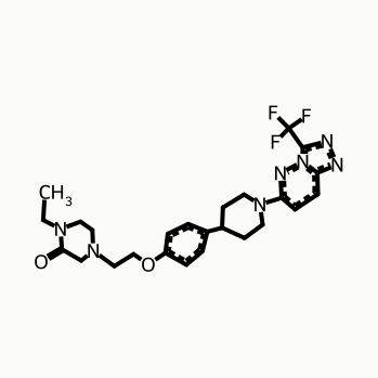 CCN1CCN(CCOc2ccc(C3CCN(c4ccc5nnc(C(F)(F)F)n5n4)CC3)cc2)CC1=O